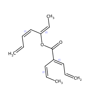 C=C/C=C\C(=C/C)OC(=O)C(/C=C\C)=C/C=C